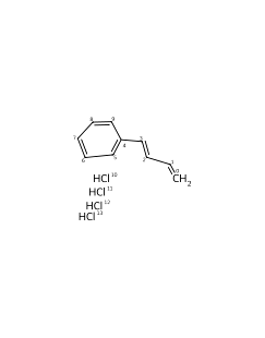 C=CC=Cc1ccccc1.Cl.Cl.Cl.Cl